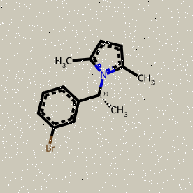 Cc1ccc(C)n1[C@H](C)c1cccc(Br)c1